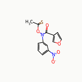 CC(=S)ON(C(=O)c1ccoc1)c1cccc([N+](=O)[O-])c1